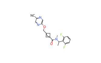 CC(c1c(F)cccc1F)N(C)C(=O)C12CC(COc3cnc(C#N)cn3)(C1)C2